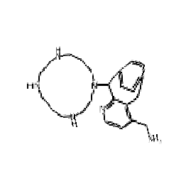 NCc1ccnc2c1Cc1ccc(cc1)C2N1CCCNCCNCCCNCC1